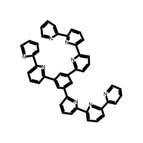 c1ccc(-c2cccc(-c3cc(-c4cccc(-c5cccc(-c6ccccn6)n5)n4)cc(-c4cccc(-c5cccc(-c6ccccn6)n5)n4)c3)n2)nc1